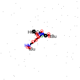 CC(C)(C)OC(=O)NCCCOCCOCCOCCCN(Cc1cc(C(=O)OC(C)(C)C)ccc1F)C(=O)C(CC(=O)O)NC(=O)OCc1ccccc1